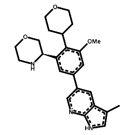 COc1cc(-c2cnc3[nH]cc(C)c3c2)cc([C@@H]2COCCN2)c1C1CCOCC1